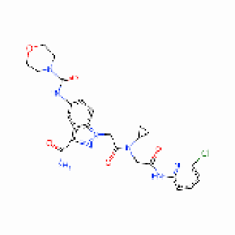 NC(=O)c1nn(CC(=O)N(CC(=O)Nc2cccc(Cl)n2)C2CC2)c2ccc(NC(=O)N3CCOCC3)cc12